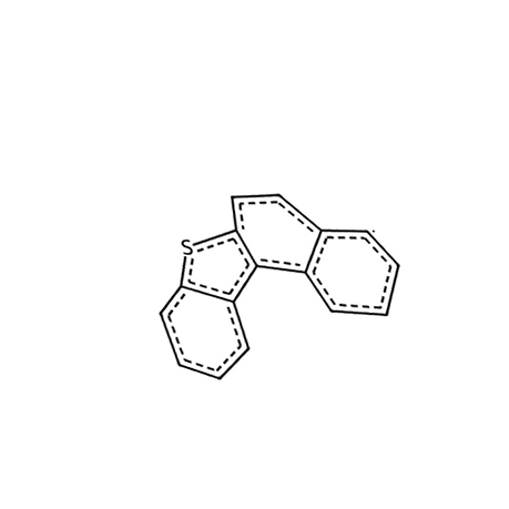 [c]1cccc2c1ccc1sc3ccccc3c12